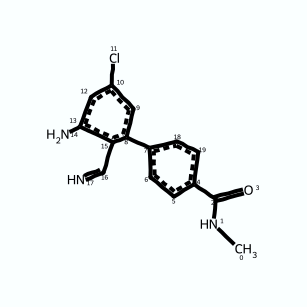 CNC(=O)c1ccc(-c2cc(Cl)cc(N)c2C=N)cc1